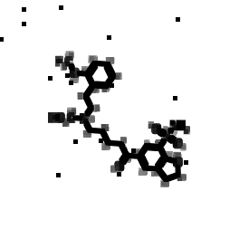 NS(=O)(=O)c1cc(C(=O)CCCCN(CCc2ccccc2OC(F)(F)F)C(=O)O)cc2c1OCC2